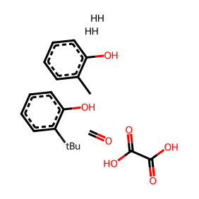 C=O.CC(C)(C)c1ccccc1O.Cc1ccccc1O.O=C(O)C(=O)O.[HH].[HH]